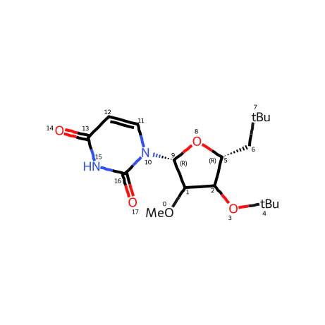 COC1C(OC(C)(C)C)[C@@H](CC(C)(C)C)O[C@H]1n1ccc(=O)[nH]c1=O